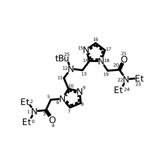 CCN(CC)C(=O)Cn1ccnc1CN(Cc1nccn1CC(=O)N(CC)CC)C(C)(C)C